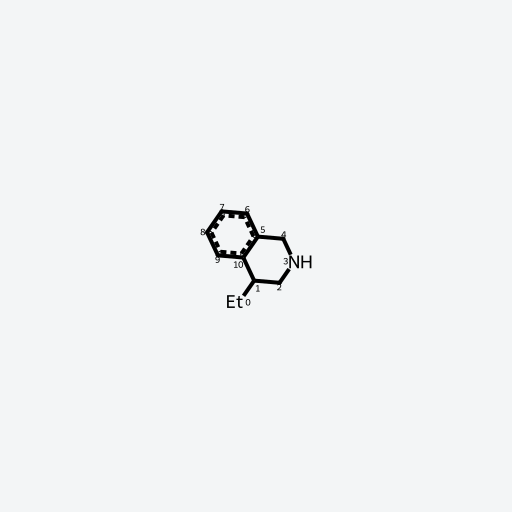 CCC1CNCc2ccccc21